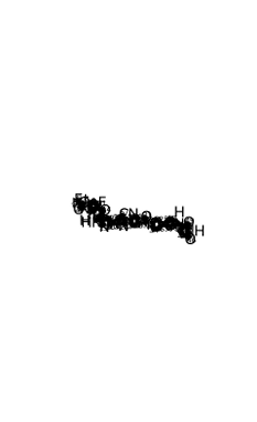 CCN(C)S(=O)(=O)Nc1ccc(F)c(C(=O)c2c[nH]c3ncc(-c4cnc(N5CCN(C(=O)CN6CCC(c7ccc(NC8CCC(=O)NC8=O)cc7)CC6)CC5)c(C#N)c4)cc23)c1F